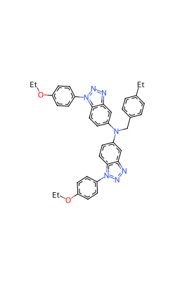 CCOc1ccc(-n2nnc3cc(N(Cc4ccc(CC)cc4)c4ccc5c(c4)nnn5-c4ccc(OCC)cc4)ccc32)cc1